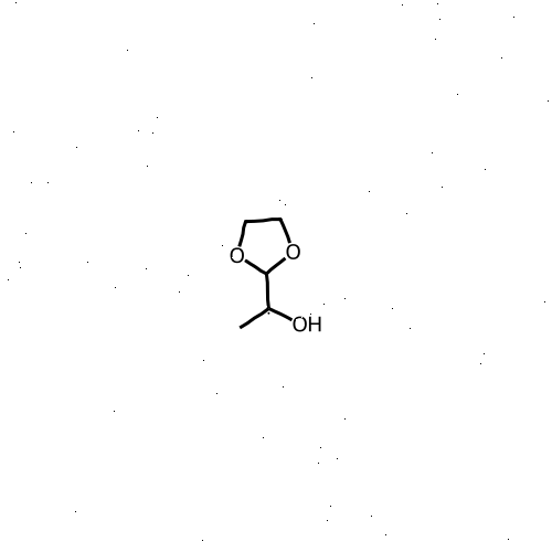 C[C](O)C1OCCO1